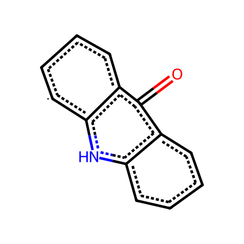 O=c1c2ccc[c]c2[nH]c2ccccc12